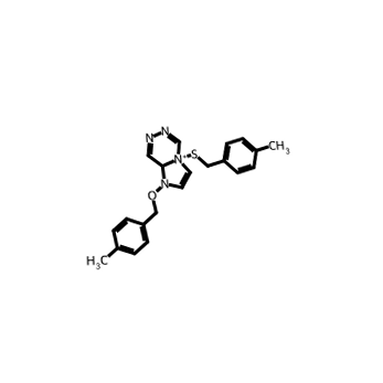 Cc1ccc(CON2C=C[N+]3(SCc4ccc(C)cc4)C=NN=CC23)cc1